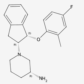 Cc1cc(F)ccc1O[C@H]1c2ccccc2C[C@H]1N1CCC[C@@H](N)C1